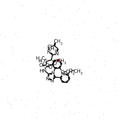 C=C(Cl)/C=N\C(=N/C)[C@@H](OC)[C@@H](C)S(=O)(=O)Nc1nnc(-c2cccc(OC)n2)n1-c1c(OC)cccc1OC